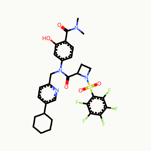 CN(C)C(=O)c1ccc(N(Cc2ccc(C3CCCCC3)cn2)C(=O)C2CCN2S(=O)(=O)c2c(F)c(F)c(F)c(F)c2F)cc1O